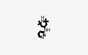 CC1(C)CC(Nc2cccnn2)CC(C)(C)N1